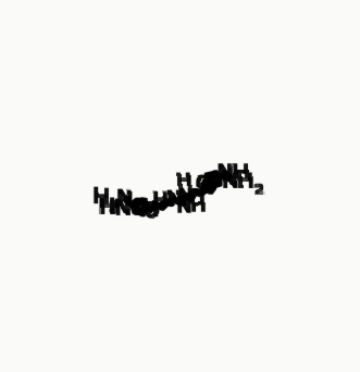 N=C(NCCCCOc1ccc(C(=N)N)cc1)NCCCc1cc2cc(C(=N)N)ccc2o1